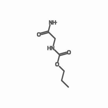 CCCOC(=O)NCC([NH])=O